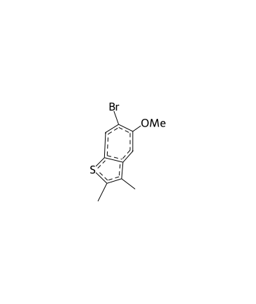 COc1cc2c(C)c(C)sc2cc1Br